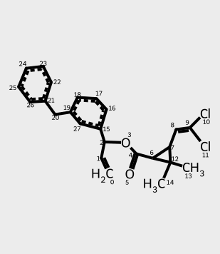 C=CC(OC(=O)C1C(C=C(Cl)Cl)C1(C)C)c1cccc(Cc2ccccc2)c1